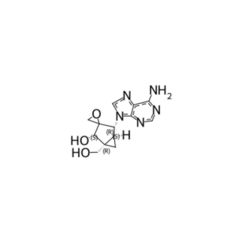 Nc1ncnc2c1ncn2[C@@H]1[C@H]2C[C@@]2(CO)[C@H](O)C12CO2